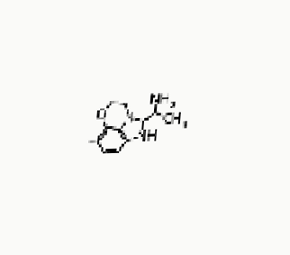 CC(N)C1Nc2ccc(F)c3c2N1CCO3